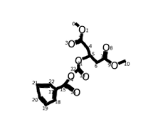 COC(=O)CC(CC(=O)OC)OC(=O)OC(=O)c1ccccc1